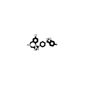 Fc1ccc2c(c1)onc2[C@H]1CC[C@H](c2nnc3n2-c2ccc(Cl)cc2CNC3)CC1